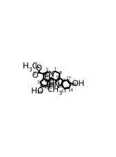 COC(=O)C1=CN2CCc3c([nH]c4ccc(O)cc34)[C@@H]2[C@H]2C1C[C@H](O)[C@@H]2C